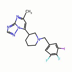 Cc1cc(C2CCCN(Cc3cc(F)c(F)c(I)c3)C2)n2ncnc2n1